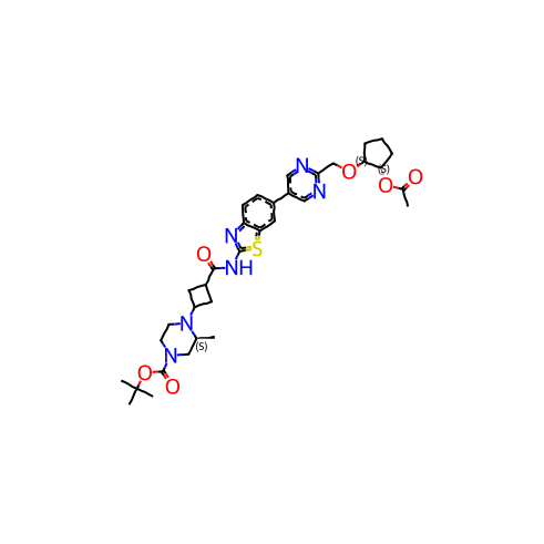 CC(=O)O[C@H]1CCC[C@@H]1OCc1ncc(-c2ccc3nc(NC(=O)C4CC(N5CCN(C(=O)OC(C)(C)C)C[C@@H]5C)C4)sc3c2)cn1